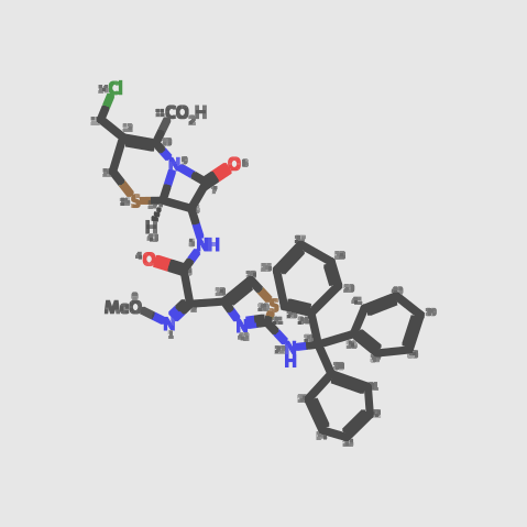 CO/N=C(\C(=O)NC1C(=O)N2C(C(=O)O)=C(CCl)CS[C@H]12)c1csc(NC(c2ccccc2)(c2ccccc2)c2ccccc2)n1